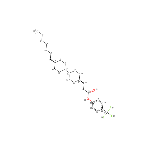 CCCCCCC[C@H]1CC[C@H]([C@H]2CC[C@H](CCC(=O)Oc3ccc(C(F)(F)F)cc3)CC2)CC1